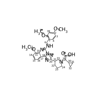 COc1ccc(CNc2nc3c(OC)cccc3c3nc(C4CCCN(C(C(=O)O)C5CC5)C4)nn23)c(OC)c1